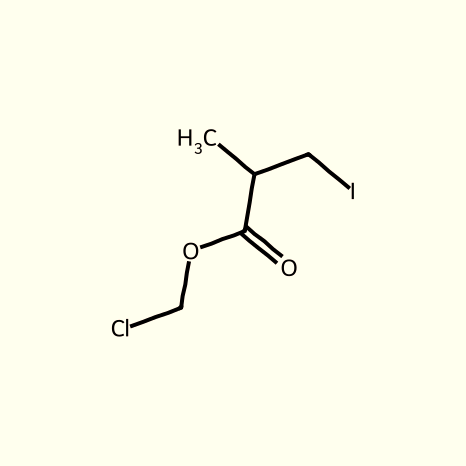 CC(CI)C(=O)OCCl